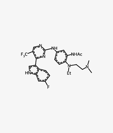 CCN(CCN(C)C)c1ccc(Nc2ncc(C(F)(F)F)c(-c3c[nH]c4cc(F)ccc34)n2)cc1NC(C)=O